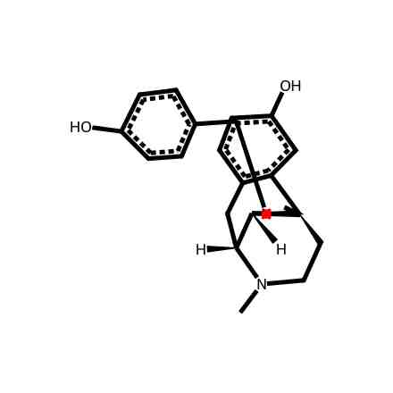 CN1CC[C@]23CCN(Cc4ccc(O)cc4)C[C@H]2[C@H]1Cc1ccc(O)cc13